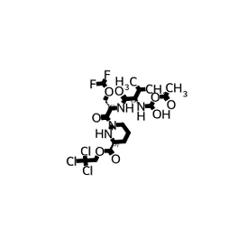 CC(=O)OC(O)N[C@H](C(=O)N[C@@H](COC(F)F)C(=O)N1CCC[C@@H](C(=O)OCC(Cl)(Cl)Cl)N1)C(C)C